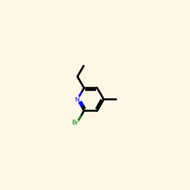 CCc1cc(C)cc(Br)n1